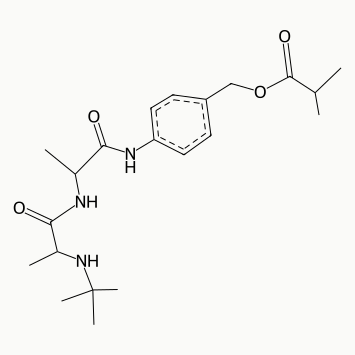 CC(C)C(=O)OCc1ccc(NC(=O)C(C)NC(=O)C(C)NC(C)(C)C)cc1